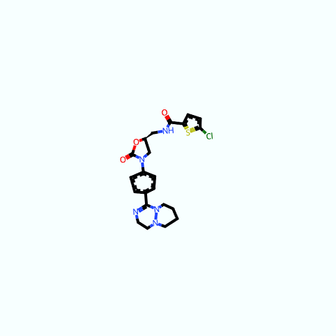 O=C(NC[C@H]1CN(c2ccc(C3=NCCN4CCCCN34)cc2)C(=O)O1)c1ccc(Cl)s1